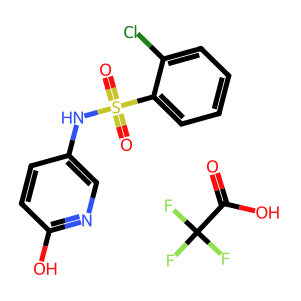 O=C(O)C(F)(F)F.O=S(=O)(Nc1ccc(O)nc1)c1ccccc1Cl